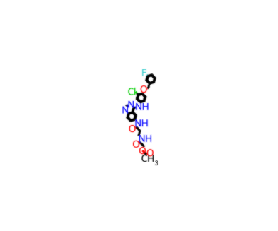 CC(=O)OCC(=O)NCCC(=O)Nc1ccc2ncnc(Nc3ccc(OCc4cccc(F)c4)c(Cl)c3)c2c1